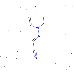 C=CN(CC)/N=C/C#N